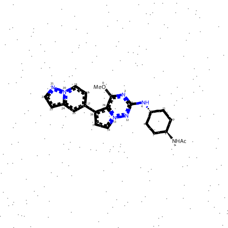 COc1nc(N[C@H]2CC[C@H](NC(C)=O)CC2)nn2ccc(-c3ccn4nccc4c3)c12